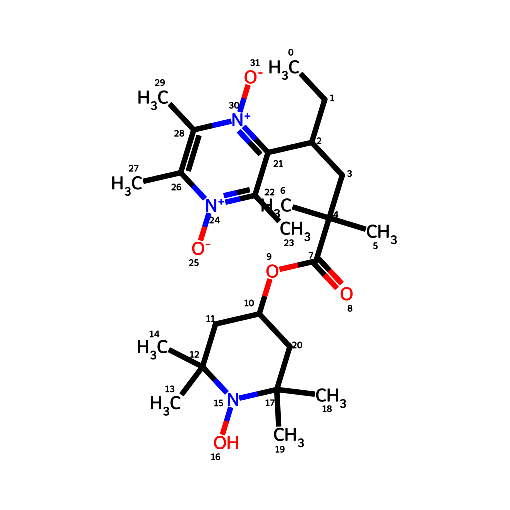 CCC(CC(C)(C)C(=O)OC1CC(C)(C)N(O)C(C)(C)C1)c1c(C)[n+]([O-])c(C)c(C)[n+]1[O-]